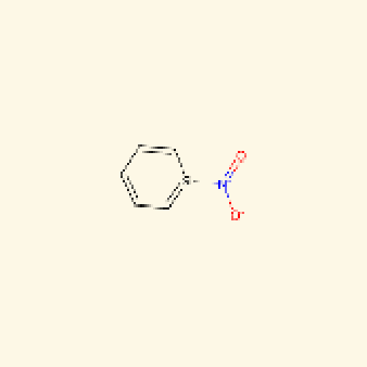 O=[N+]([O-])[si]1ccccc1